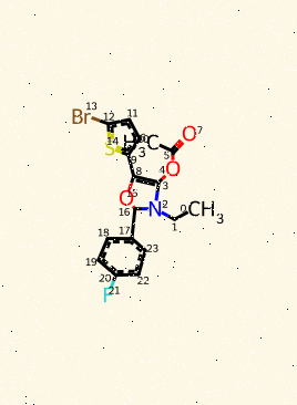 CCN1C(OC(C)=O)=C(c2ccc(Br)s2)OC1c1ccc(F)cc1